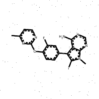 Cc1ccnc(Oc2ccc(-c3c(I)n(C)c4ncnc(N)c34)cc2F)n1